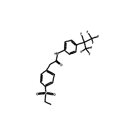 CCS(=O)(=O)c1ccc(CC(=O)Nc2ccc(C(F)(C(F)(F)F)C(F)(F)F)cc2)cc1